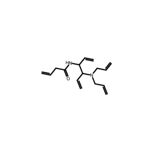 C=CCC(=O)N[C](C=C)C(C=C)N(CC=C)CC=C